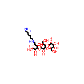 NCCCCCCNC[C@@H](O)C(O)[C@H](OC1OC(CO)C(OC2OC(CO)[C@@H](O)C(O)[C@@H]2O)C(O)[C@@H]1O)C(O)CO